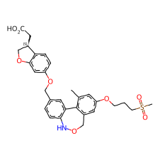 Cc1cc(OCCCS(C)(=O)=O)cc2c1-c1cc(COc3ccc4c(c3)OC[C@H]4CC(=O)O)ccc1NOC2